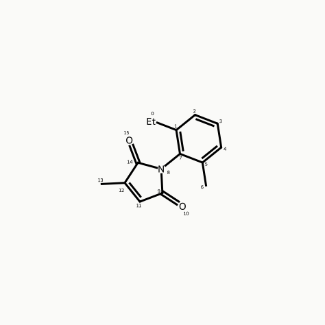 CCc1cccc(C)c1N1C(=O)C=C(C)C1=O